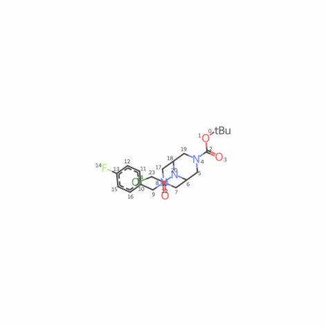 CC(C)(C)OC(=O)N1CC2CN(Cc3ccc(F)cc3)CC(C1)N2C(=O)CCl